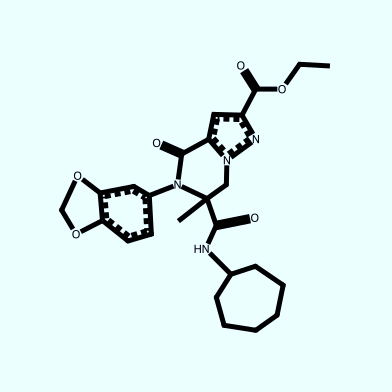 CCOC(=O)c1cc2n(n1)CC(C)(C(=O)NC1CCCCCC1)N(c1ccc3c(c1)OCO3)C2=O